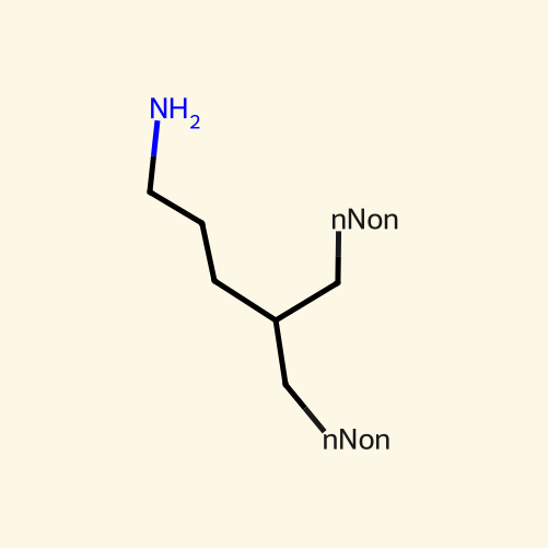 CCCCCCCCCCC(CCCN)CCCCCCCCCC